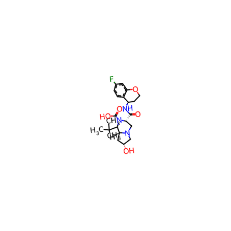 CC(C)(C)C1[C@H]2C[C@@H](O)CN2C[C@@H](C(=O)N[C@@H]2CCOc3cc(F)ccc32)N1C(=O)O